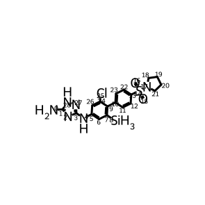 Nc1nc(Nc2cc([SiH3])c(-c3ccc(S(=O)(=O)N4CCCC4)cc3)c(Cl)c2)n[nH]1